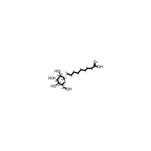 O=C(O)CCCCCCCC[C@@H]1S[C@H](CO)[C@@H](O)[C@H](O)[C@H]1O